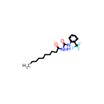 CCCCCCCCCC(=O)NC(=O)Nc1ccccc1C(F)(F)F